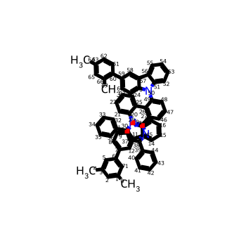 Cc1cc(C)cc(-c2ccc3c(c2)c2ccccc2n3-c2ccccc2-c2c(-c3nc(-c4ccccc4)cc(-c4ccccc4)n3)cccc2-n2c3ccccc3c3cc(-c4ccc(C)cc4C)ccc32)c1